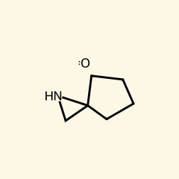 C1CCC2(C1)CN2.[O]